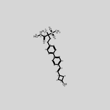 CC(CCc1ccc(-c2ccc(C=CC3CC(O)C3)cc2)cc1)(C(=O)NO)S(C)(=O)=O